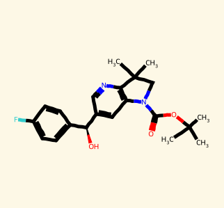 CC(C)(C)OC(=O)N1CC(C)(C)c2ncc([C@@H](O)c3ccc(F)cc3)cc21